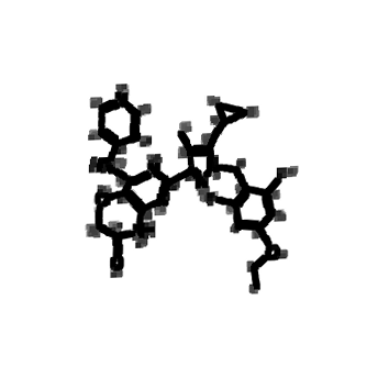 CCOc1cc(F)c(Cn2nc(-c3nc4c(c(Nc5ccncc5)n3)OCC(=O)N4)c(C)c2C2CC2)c(F)c1